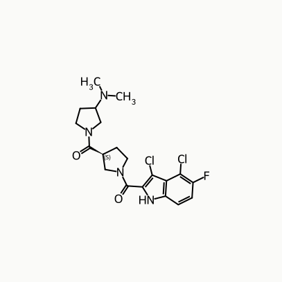 CN(C)C1CCN(C(=O)[C@H]2CCN(C(=O)c3[nH]c4ccc(F)c(Cl)c4c3Cl)C2)C1